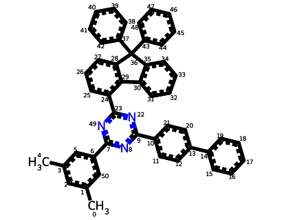 Cc1cc(C)cc(-c2nc(-c3ccc(-c4ccccc4)cc3)nc(-c3cccc4c3-c3ccccc3C4(c3ccccc3)c3ccccc3)n2)c1